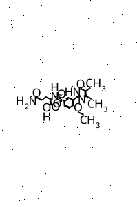 CCCOc1ccc(S(=O)(=O)NC(CCC(N)=O)C(=O)O)cc1-c1nc(CC)c(CC)c(=O)[nH]1